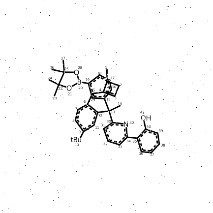 C[C@H]1CC=C1Cc1ccc(C(C)(C)C)cc1C(C)(c1cccc(B2OC(C)(C)C(C)(C)O2)c1)c1cccc(-c2ccccc2O)n1